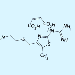 Cc1sc(NC(=N)N)nc1CSCCN.O=C(O)/C=C\C(=O)O